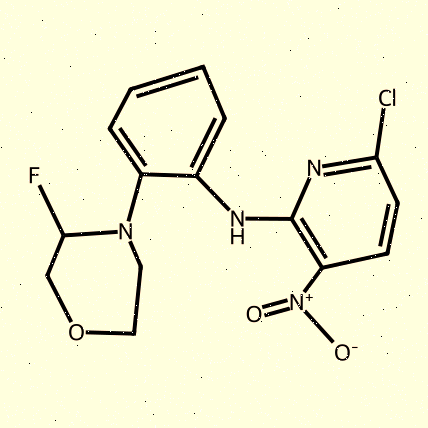 O=[N+]([O-])c1ccc(Cl)nc1Nc1ccccc1N1CCOCC1F